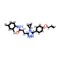 C=CCOc1ccc(-c2nnc(CCC(=O)Nc3ccc(C)cc3C)n2C2CC2)cc1